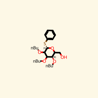 CCCCOC1C(OCCCC)[C@H](Sc2ccccc2)OC(CO)[C@H]1OCCCC